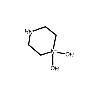 O[N+]1(O)CCNCC1